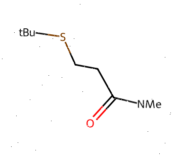 CNC(=O)CCSC(C)(C)C